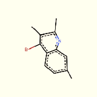 Cc1ccc2c(Br)c(C)c(C)nc2c1